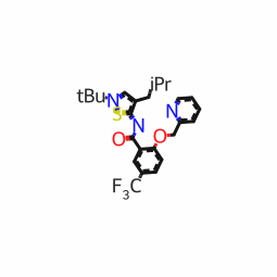 CC(C)Cc1cn(C(C)(C)C)sc1=NC(=O)c1cc(C(F)(F)F)ccc1OCc1ccccn1